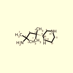 CC(C)(N)CC(C)(C)[C@@H]1CNCCN1